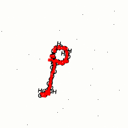 C/C=C/C[C@@H](C)C(OC(=O)OCOC(=O)CCC(=O)OCCOCCOCCOC(=O)CCC(=O)OCC(=O)[C@@]1(O)[C@@H](C)CC2C3CCC4=CC(=O)C=C[C@]4(C)[C@@]3(F)[C@@H](O)C[C@@]21C)C1C(=O)NC(CC)C(=O)N(C)CC(=O)N(C)[C@@H](CC(C)C)C(=O)NC(C(C)C)C(=O)N(C)C(CC(C)C)C(=O)NC(C)C(=O)NC(C)C(=O)N(C)C(CC(C)C)C(=O)N(C)C(CC(C)C)C(=O)N(C)C(C(C)C)C(=O)N1C